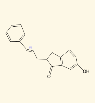 O=C1c2cc(O)ccc2CC1C/C=C/c1ccccc1